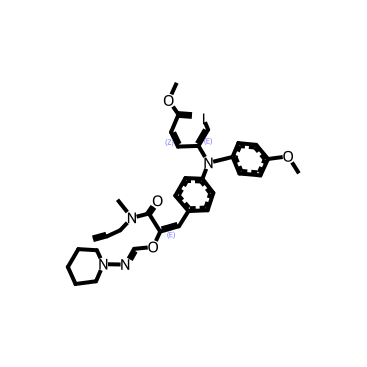 C=CCN(C)C(=O)/C(=C\c1ccc(N(C(/C=C\C(=C)OC)=C/I)c2ccc(OC)cc2)cc1)OC=NN1CCCCC1